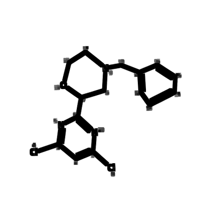 Clc1cc(Cl)nc(C2CN(Cc3ccccc3)CCO2)n1